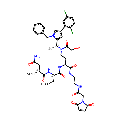 CC(=O)N[C@H](CC(N)=O)C(=O)N[C@@H](CC(=O)O)C(=O)NC(CCN(C(=O)CO)[C@@H](c1cc(-c2cc(F)ccc2F)cn1Cc1ccccc1)C(C)(C)C)C(=O)NCCNC(=O)CN1C(=O)C=CC1=O